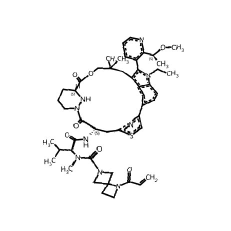 C=CC(=O)N1CCC12CN(C(=O)N(C)C(C(=O)N[C@H]1Cc3nc(cs3)-c3ccc4c(c3)c(c(-c3cccnc3[C@H](C)OC)n4CC)CC(C)(C)COC(=O)[C@@H]3CCCN(N3)C1=O)C(C)C)C2